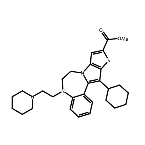 COC(=O)c1cc2c(s1)c(C1CCCCC1)c1n2CCN(CCN2CCCCC2)c2ccccc2-1